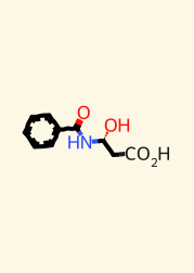 O=C(O)C[C@@H](O)NC(=O)c1ccccc1